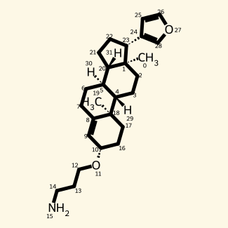 C[C@]12CC[C@H]3[C@@H](CCC4=C[C@@H](OCCCN)CC[C@@]43C)[C@@H]1CC[C@@H]2c1ccoc1